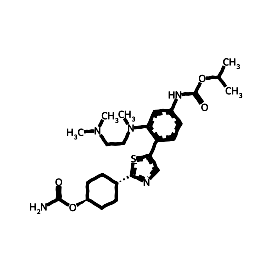 CC(C)OC(=O)Nc1ccc(-c2cnc([C@H]3CC[C@H](OC(N)=O)CC3)s2)c(N(C)CCN(C)C)c1